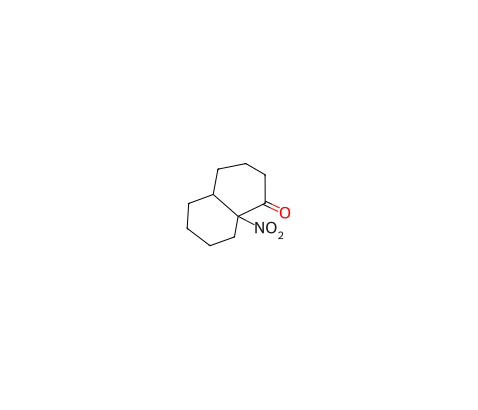 O=C1CCCC2CCCCC12[N+](=O)[O-]